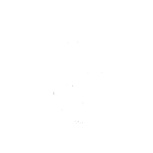 COCC(C)(C)NC(C)C(=O)c1cccc(Cl)c1